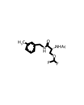 CC(=O)N[C@H](COC(F)F)C(=O)NCc1cccc(C)c1